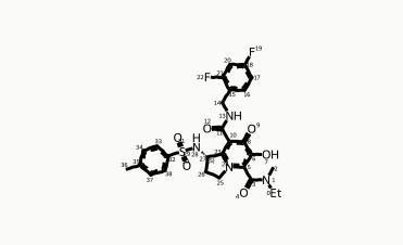 CCN(C)C(=O)c1c(O)c(=O)c(C(=O)NCc2ccc(F)cc2F)c2n1CC[C@@H]2NS(=O)(=O)c1ccc(C)cc1